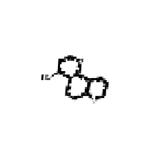 Oc1ccnc2c1ccc1ncccc12